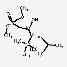 COP(=O)(C[C@@H](O)[C@H](CC(C)C)[N+](C)(C)C)OC